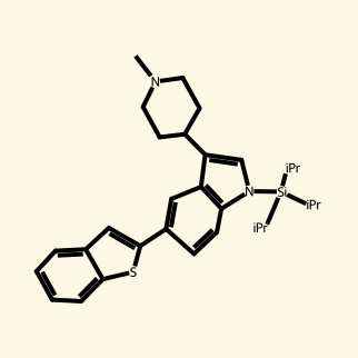 CC(C)[Si](C(C)C)(C(C)C)n1cc(C2CCN(C)CC2)c2cc(-c3cc4ccccc4s3)ccc21